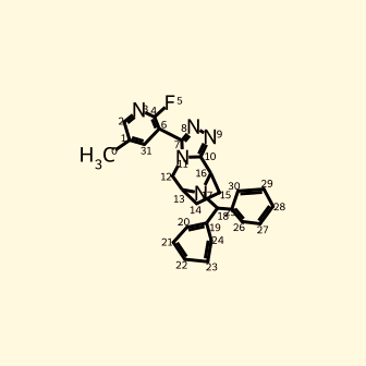 Cc1cnc(F)c(-c2nnc3n2CC2CCC3N2C(c2ccccc2)c2ccccc2)c1